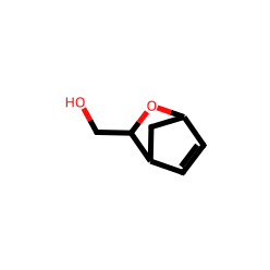 OCC1OC2C=CC1C2